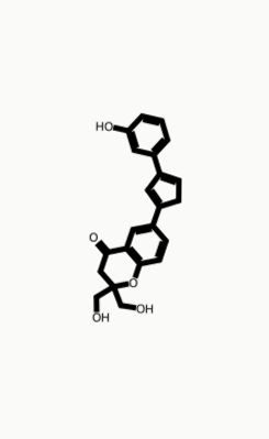 O=C1CC(CO)(CO)Oc2ccc(C3=CC(c4cccc(O)c4)=CC3)cc21